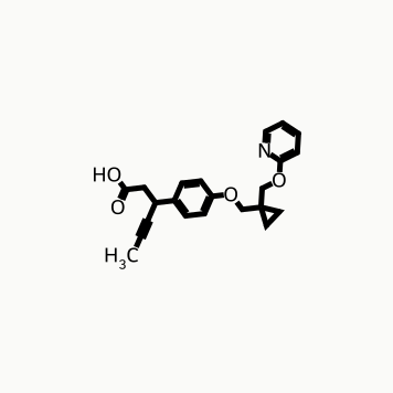 CC#CC(CC(=O)O)c1ccc(OCC2(COc3ccccn3)CC2)cc1